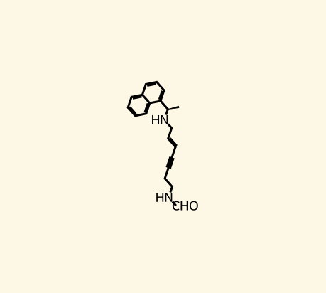 C[C@@H](NC/C=C/C#CCCNC=O)c1cccc2ccccc12